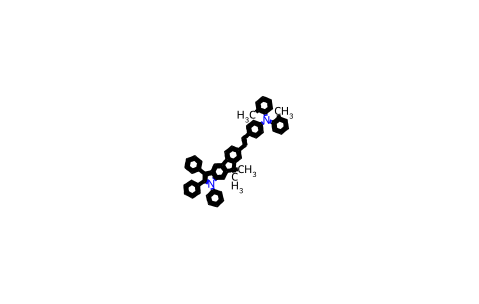 Cc1ccccc1N(c1ccc(/C=C/c2ccc3c(c2)C(C)(C)c2cc4c(cc2-3)c(-c2ccccc2)c(-c2ccccc2)n4-c2ccccc2)cc1)c1ccccc1C